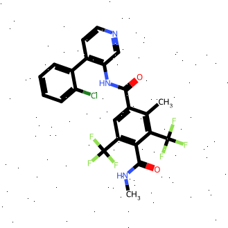 CNC(=O)c1c(C(F)(F)F)cc(C(=O)Nc2cnccc2-c2ccccc2Cl)c(C)c1C(F)(F)F